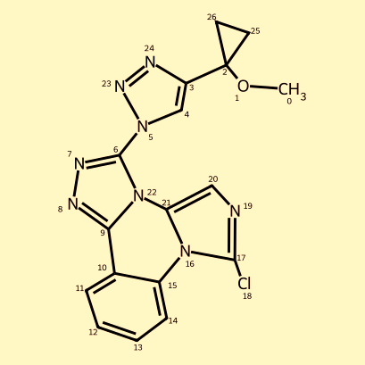 COC1(c2cn(-c3nnc4c5ccccc5n5c(Cl)ncc5n34)nn2)CC1